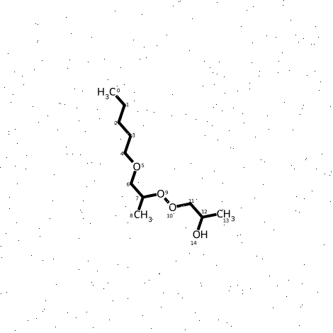 CCCCCOCC(C)OOCC(C)O